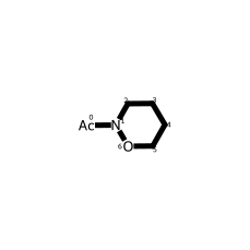 [CH2]C(=O)N1CCCCO1